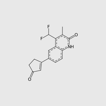 Cc1c(C(F)F)c2cc(C3=CC(=O)CC3)ccc2[nH]c1=O